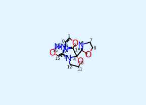 c1coc(C2(C3=NCCO3)OCCN2c2conn2)n1